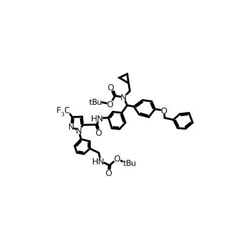 CC(C)(C)OC(=O)NCc1cccc(-n2nc(C(F)(F)F)cc2C(=O)Nc2cccc(C(c3ccc(OCc4ccccc4)cc3)N(CC3CC3)C(=O)OC(C)(C)C)c2)c1